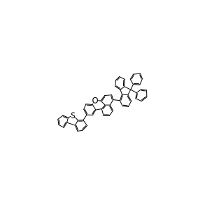 c1ccc(C2(c3ccccc3)c3ccccc3-c3c(-c4ccc5c6c(cccc46)-c4cc(-c6cccc7c6sc6ccccc67)ccc4O5)cccc32)cc1